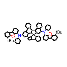 CC(C)(C)c1cccc2c1oc1c(N(c3ccccc3)c3ccc4c5c(c6ccccc6c4c3)-c3c(cc(N(c4ccccc4)c4cccc6c4oc4c(C(C)(C)C)cccc46)c4ccccc34)C53c4ccccc4-c4ccccc43)cccc12